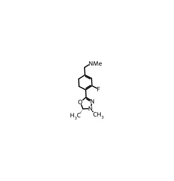 CNCC1=CC(F)=C(C2=NN(C)[C@H](C)O2)CC1